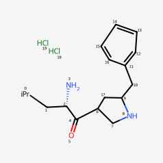 CC(C)C[C@H](N)C(=O)C1CNC(Cc2ccccc2)C1.Cl.Cl